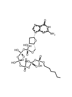 CCCCCCOP(=O)(O)OP(=O)(O)OP(=O)(O)OP(=O)(O)OP(=O)(O)OP(=O)(O)OC[C@H]1O[C@@H](n2cnc3c(=O)[nH]c(N)nc32)C[C@H]1O